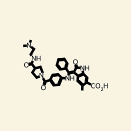 Cc1cc2c(cc1C(=O)O)NC(=O)/C2=C(/Nc1ccc(C(=O)N2CCC(C(=O)NCCN(C)C)CC2)cc1)c1ccccc1